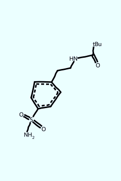 CC(C)(C)C(=O)NCCc1ccc(S(N)(=O)=O)cc1